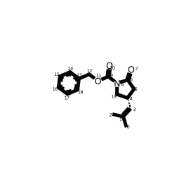 CC(C)=C[C@H]1CC(=O)N(C(=O)OCc2ccccc2)C1